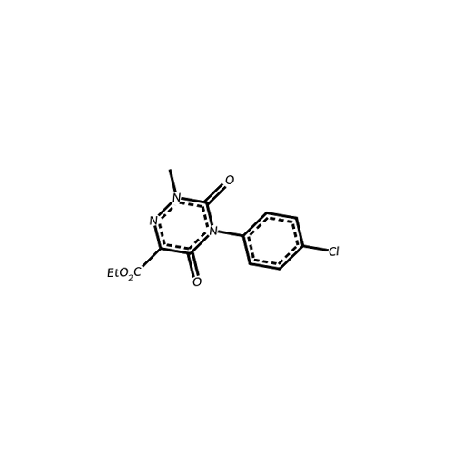 CCOC(=O)c1nn(C)c(=O)n(-c2ccc(Cl)cc2)c1=O